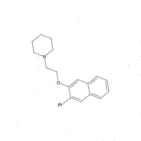 CC(C)c1cc2ccccc2cc1OCCN1CCCCC1